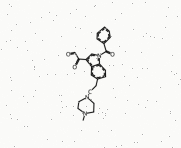 CN1CCN(CCc2ccc3c(c2)c(C(=O)C=O)cn3C(=O)c2ccccc2)CC1